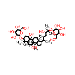 C[C@H](CC[C@H](O)C(C)(C)O[C@@H]1O[C@H](CO)[C@@H](O)[C@H](O)[C@H]1O)[C@H]1CC[C@@]2(C)[C@@H]3[C@@H](O)C[C@H]4C(C)(C)[C@@H](O[C@@H]5O[C@H](CO)[C@@H](O)[C@H](O)[C@H]5O)C[C@H](O)[C@@]45C[C@@]35CC[C@]12C